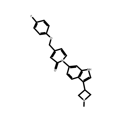 CN1CC(c2c[nH]c3cc(-n4ccc(COc5ccc(F)cc5)cc4=O)ccc23)C1